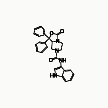 O=C(Nc1c[nH]c2ccccc12)N1CCN2C(=O)OC(c3ccccc3)(c3ccccc3)C2C1